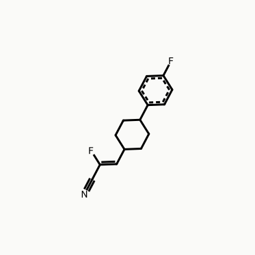 N#CC(F)=CC1CCC(c2ccc(F)cc2)CC1